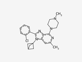 Cc1cc2c(nc(-c3ccccc3Cl)n2C23CC(C2)C3)c(N2CCN(C)CC2)n1